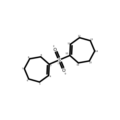 O=S(=O)(C1=CCCCCC1)C1=CCCCCC1